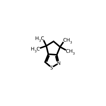 CC1(C)CC(C)(C)c2nscc21